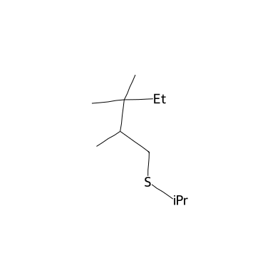 CCC(C)(C)C(C)CSC(C)C